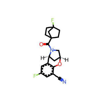 N#Cc1cc(F)cc2c1O[C@H]1C[C@@H]2N(C(=O)C23CCC(F)(CC2)C3)C1